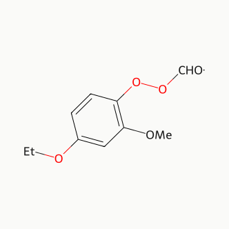 CCOc1ccc(OO[C]=O)c(OC)c1